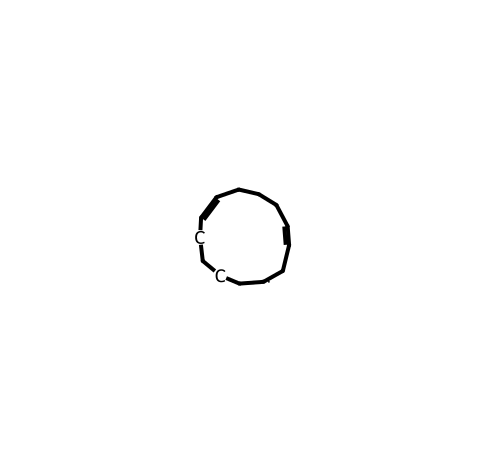 [CH]1CC=CCCCC=CCCCC1